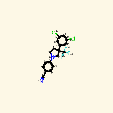 N#Cc1ccc(N2CCC(c3cc(Cl)cc(Cl)c3)(C(F)(F)F)C2)cc1